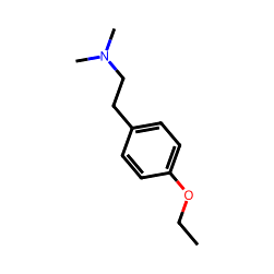 CCOc1ccc(CCN(C)C)cc1